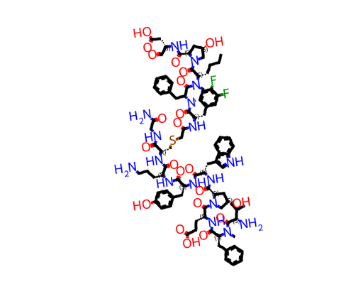 CCCC[C@@H](C(=O)N1C[C@@H](O)C[C@@H]1C(=O)N[C@H](C=O)CC(=O)O)N(C)C(=O)C(Cc1ccccc1)N(C)C(=O)[C@H](Cc1ccc(F)c(F)c1)NC(=O)CSC[C@H](NC(=O)[C@H](CCCN)NC(=O)[C@H](Cc1ccc(O)cc1)NC(=O)[C@H](Cc1c[nH]c2ccccc12)NC(=O)[C@H]1C[C@H](O)CN1C(=O)[C@H](CCC(=O)O)NC(=O)[C@H](Cc1ccccc1)N(C)C(=O)[C@@H](N)C(C)C)C(=O)NCC(N)=O